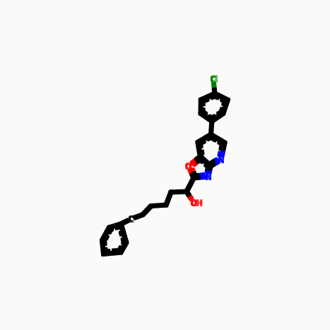 OC(CCCCCc1ccccc1)c1nc2ncc(-c3ccc(Cl)cc3)cc2o1